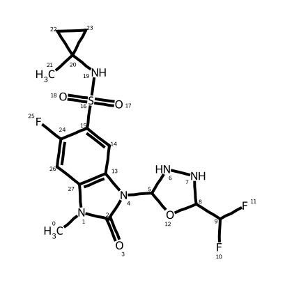 Cn1c(=O)n(C2NNC(C(F)F)O2)c2cc(S(=O)(=O)NC3(C)CC3)c(F)cc21